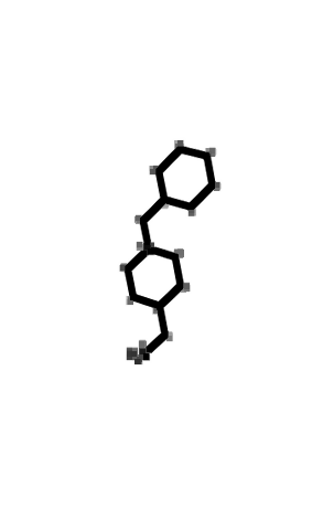 NCC1CCN(C[C]2CCCCC2)CC1